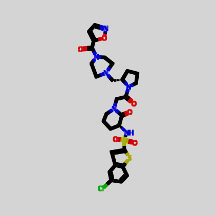 O=C(c1ccno1)N1CCN(C[C@@H]2CCCN2C(=O)CN2CCC[C@H](NS(=O)(=O)c3cc4cc(Cl)ccc4s3)C2=O)CC1